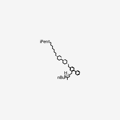 CCCC[SiH2]C(C)CCCc1cc(CC[C@H]2CC[C@H]([C@H]3CC[C@H](CCCCCCCCC(C)CCC)CC3)CC2)ccc1-c1ccccc1